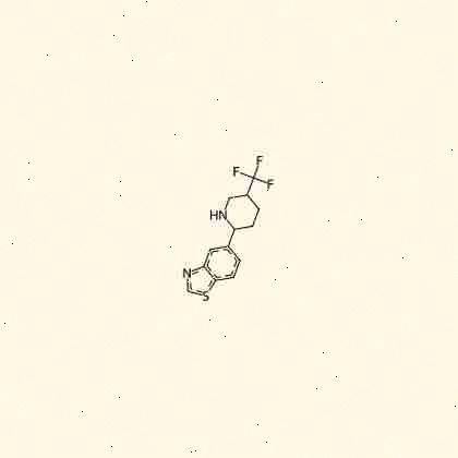 FC(F)(F)C1CCC(c2ccc3scnc3c2)NC1